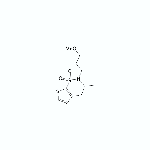 COCCCN1C(C)Cc2ccsc2S1(=O)=O